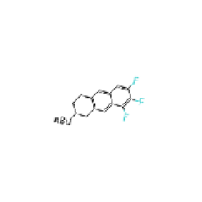 CCCCC1CCc2cc3cc(F)c(F)c(F)c3cc2C1